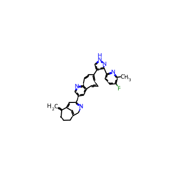 C=C1CCCC2=CC1=CC(c1cnc3c(c1)/C=C/C=C(c1c[nH]nc1-c1ccc(F)c(C)n1)/C=C\3)=NC2